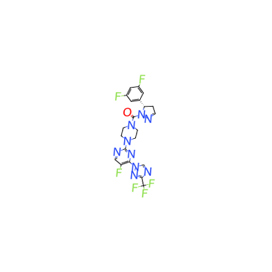 O=C(N1CCN(c2ncc(F)c(-n3cnc(C(F)(F)F)n3)n2)CC1)N1N=CC[C@H]1c1cc(F)cc(F)c1